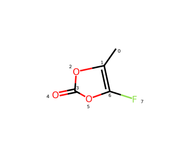 Cc1oc(=O)oc1F